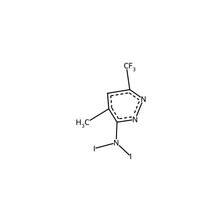 Cc1cc(C(F)(F)F)nnc1N(I)I